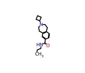 CCCNC(=O)c1ccc2c(c1)CCN(C1CCC1)CC2